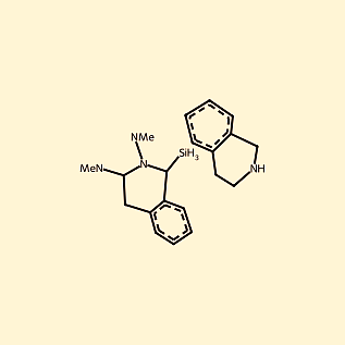 CNC1Cc2ccccc2C([SiH3])N1NC.c1ccc2c(c1)CCNC2